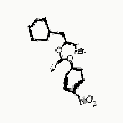 CC(C)(C)[CH]C(CC1CCCCC1)OC(=O)Oc1ccc([N+](=O)[O-])cc1